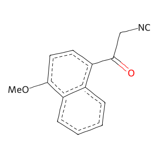 [C-]#[N+]CC(=O)c1ccc(OC)c2ccccc12